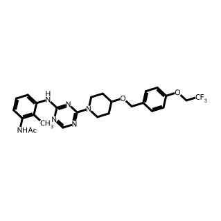 CC(=O)Nc1cccc(Nc2ncnc(N3CCC(OCc4ccc(OCC(F)(F)F)cc4)CC3)n2)c1C